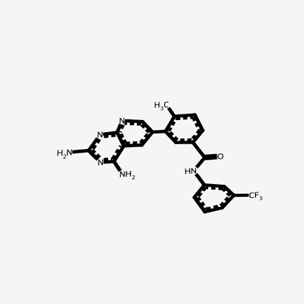 Cc1ccc(C(=O)Nc2cccc(C(F)(F)F)c2)cc1-c1cnc2nc(N)nc(N)c2c1